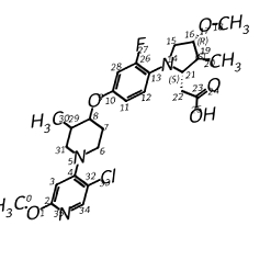 COc1cc(N2CCC(Oc3ccc(N4C[C@H](OC)[C@@H](C)[C@@H]4CC(=O)O)c(F)c3)C(C)C2)c(Cl)cn1